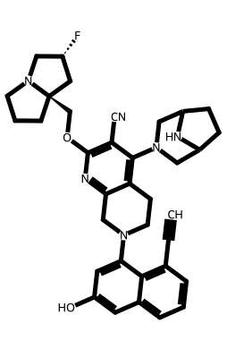 C#Cc1cccc2cc(O)cc(N3CCc4c(nc(OC[C@@]56CCCN5C[C@H](F)C6)c(C#N)c4N4CC5CCC(C4)N5)C3)c12